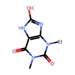 CCn1c(=O)n(C)c(=O)c2[nH]c(O)nc21